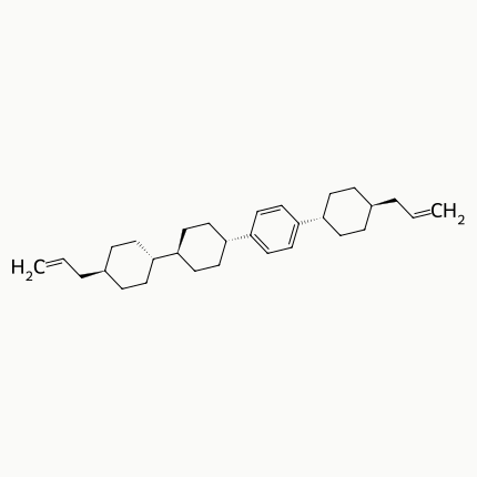 C=CC[C@H]1CC[C@H](c2ccc([C@H]3CC[C@H]([C@H]4CC[C@H](CC=C)CC4)CC3)cc2)CC1